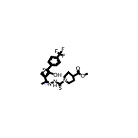 COC(=O)C1CCN(C(=S)N/N=C(/C)c2csc(-c3ccc(C(F)(F)F)cc3)c2O)CC1